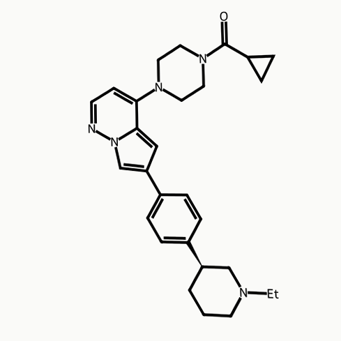 CCN1CCC[C@@H](c2ccc(-c3cc4c(N5CCN(C(=O)C6CC6)CC5)ccnn4c3)cc2)C1